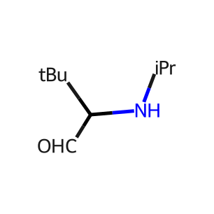 CC(C)NC(C=O)C(C)(C)C